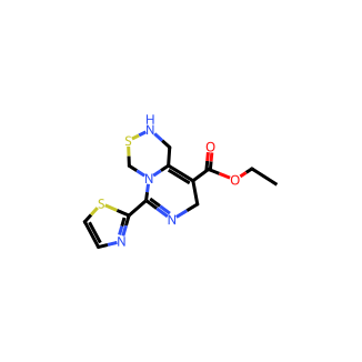 CCOC(=O)C1=C2CNSCN2C(c2nccs2)=NC1